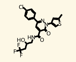 Cc1cc(-n2nc(-c3ccc(Cl)cc3)cc(C(=O)NCC(O)CC(F)(F)F)c2=O)cs1